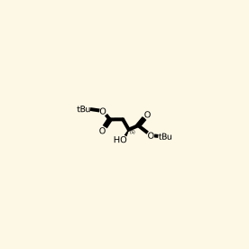 CC(C)(C)OC(=O)C[C@H](O)C(=O)OC(C)(C)C